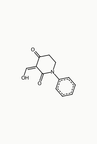 O=C1CCN(c2ccccc2)C(=O)/C1=C\O